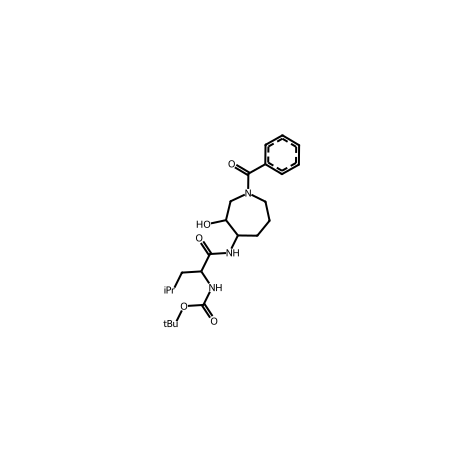 CC(C)CC(NC(=O)OC(C)(C)C)C(=O)NC1CCCN(C(=O)c2ccccc2)CC1O